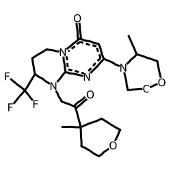 CC1COCCN1c1cc(=O)n2c(n1)N(CC(=O)C1(C)CCOCC1)C(C(F)(F)F)CC2